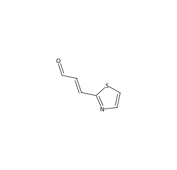 O=CC=Cc1nccs1